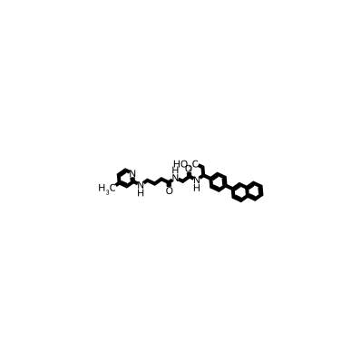 Cc1ccnc(NCCCC(=O)NCC(=O)NC(CC(=O)O)c2ccc(-c3ccc4ccccc4c3)cc2)c1